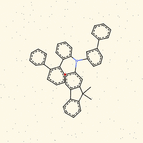 CC1(C)c2ccccc2-c2ccc(N(c3cccc(-c4ccccc4)c3)c3ccccc3-c3ccccc3-c3ccccc3)cc21